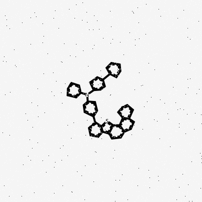 c1ccc(-c2ccc(N(c3ccccc3)c3ccc(-c4cccc5c4sc4c5ccc5ccc6ccccc6c54)cc3)cc2)cc1